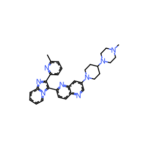 Cc1cccc(-c2nc3ccccn3c2-c2ccc3ncc(N4CCC(N5CCN(C)CC5)CC4)cc3n2)n1